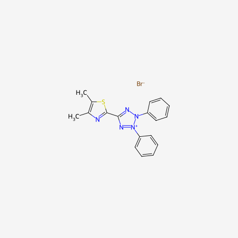 Cc1nc(-c2nn(-c3ccccc3)[n+](-c3ccccc3)n2)sc1C.[Br-]